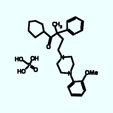 COc1ccccc1N1CCN(CCC(C)(C(=O)C2CCCCC2)c2ccccc2)CC1.O=P(O)(O)O